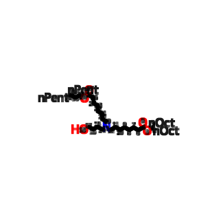 CCCCCCCCC(CCCCCCCC)OC(=O)CCCCCCCN(CCCCO)CCCCCCCC(=O)OCCC(CCCCC)CCCCC